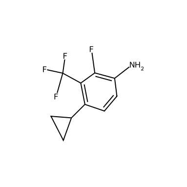 Nc1ccc(C2CC2)c(C(F)(F)F)c1F